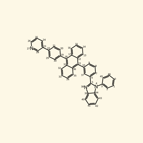 c1ccc(-n2c(-c3cccc(-c4c5ccccc5c(-c5ccc(-c6cccnc6)cc5)c5ccccc45)c3)nc3ccccc32)cc1